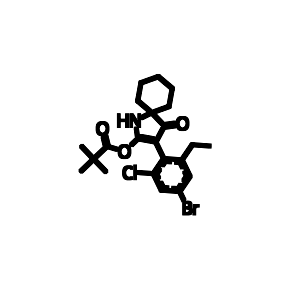 CCc1cc(Br)cc(Cl)c1C1=C(OC(=O)C(C)(C)C)NC2(CCCCC2)C1=O